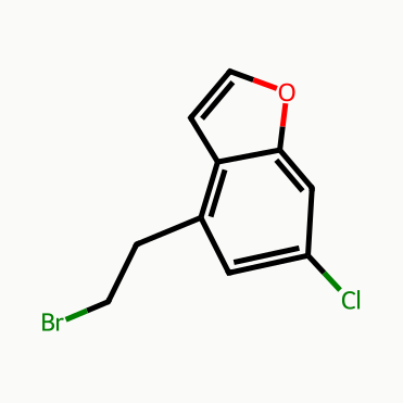 Clc1cc(CCBr)c2ccoc2c1